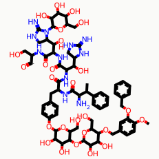 COc1ccc(COC2C(CO)OC(OC3C(CO)OC(Oc4ccc(CC(NC(=O)C(N)C(C)c5ccccc5)C(=O)NC(C(=O)NC(C(=O)NC([C]=O)CO)C(O)C5CNC(=N)N5C5OC(CO)C(O)C(O)C5O)C(O)C5CNC(=N)N5)cc4)C(O)C3O)C(O)C2O)cc1OCc1ccccc1